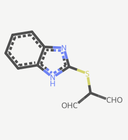 O=CC(C=O)Sc1nc2ccccc2[nH]1